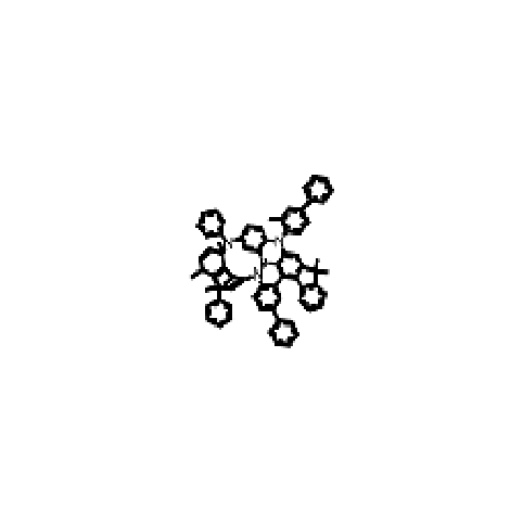 Cc1cc(-c2ccccc2)ccc1N1c2ccc3cc2B2c4c1cc1c(c4-c4cc(-c5ccccc5)ccc4N2C2=CC(C)(c4ccccc4)C4=C(C2C)C(C)(C=CC4C)N3c2ccccc2)-c2ccccc2C1(C)C